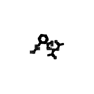 CC(=O)OOC(C)=O.CC(C)(C)OO.CC(C)c1ccccc1.OO